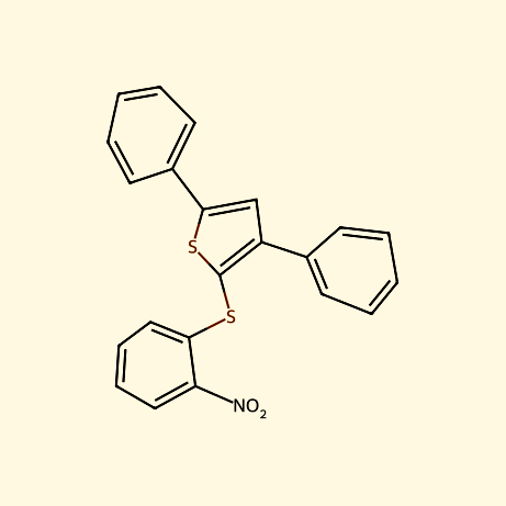 O=[N+]([O-])c1ccccc1Sc1sc(-c2ccccc2)cc1-c1ccccc1